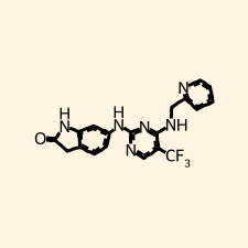 O=C1Cc2ccc(Nc3ncc(C(F)(F)F)c(NCc4ccccn4)n3)cc2N1